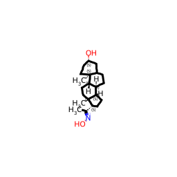 C/C(=N\O)[C@H]1CC[C@H]2[C@@H]3CCC4C[C@@H](O)CC[C@]4(C)[C@H]3CC[C@]12C